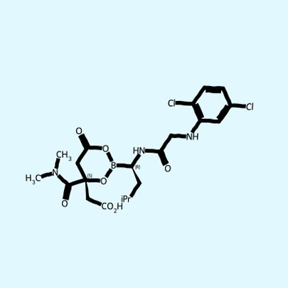 CC(C)C[C@H](NC(=O)CNc1cc(Cl)ccc1Cl)B1OC(=O)C[C@@](CC(=O)O)(C(=O)N(C)C)O1